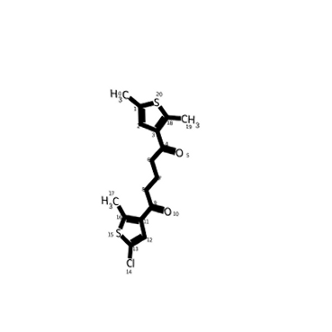 Cc1cc(C(=O)CCCC(=O)c2cc(Cl)sc2C)c(C)s1